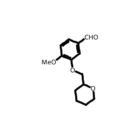 COc1ccc(C=O)cc1OCC1CCCCO1